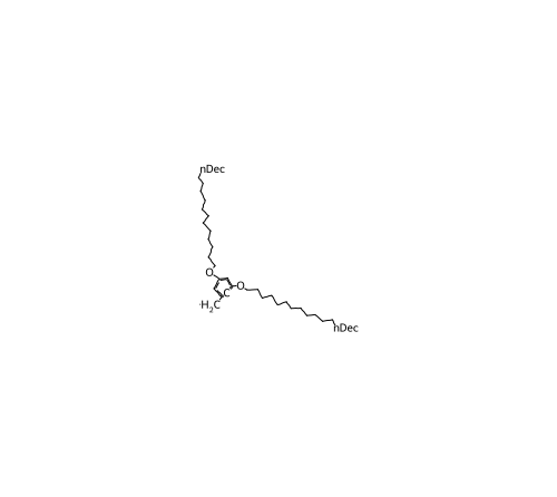 [CH2]c1cc(OCCCCCCCCCCCCCCCCCCCCCC)cc(OCCCCCCCCCCCCCCCCCCCCCC)c1